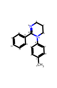 Cc1ccc(N2CCCN=C2c2ccccc2)cc1